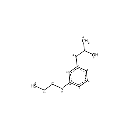 CC(O)Sc1cccc(SCCS)c1